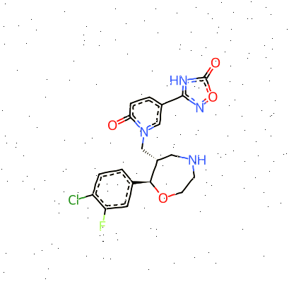 O=c1[nH]c(-c2ccc(=O)n(C[C@@H]3CNCCO[C@H]3c3ccc(Cl)c(F)c3)c2)no1